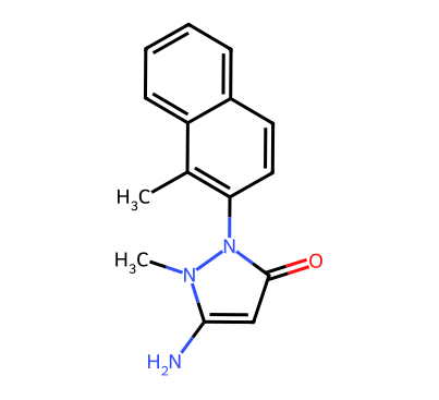 Cc1c(-n2c(=O)cc(N)n2C)ccc2ccccc12